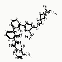 COc1nc(-c2cccc(-c3cccc(NC(=O)c4ncnn(C)c4=O)c3Cl)c2Cl)ccc1CN1CC2(C1)CN(C(C)=O)C2